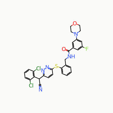 N#CC(c1ccc(Sc2ccccc2CNC(=O)c2cc(F)cc(N3CCOCC3)c2)nn1)c1c(Cl)cccc1Cl